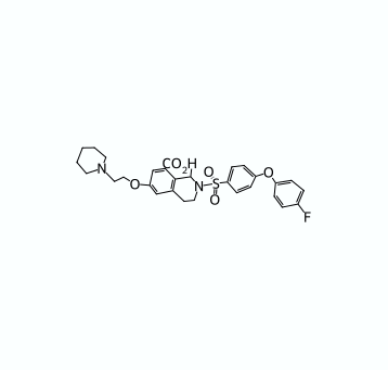 O=C(O)C1c2ccc(OCCN3CCCCC3)cc2CCN1S(=O)(=O)c1ccc(Oc2ccc(F)cc2)cc1